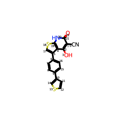 N#Cc1c(O)c2c(-c3ccc(-c4ccsc4)cc3)csc2[nH]c1=O